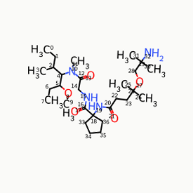 CCC(C)C(C(CC)OC)N(C)C(=O)CNC(=O)C1(NC(=O)CCC(C)(C)OCC(C)(C)N)CCCC1